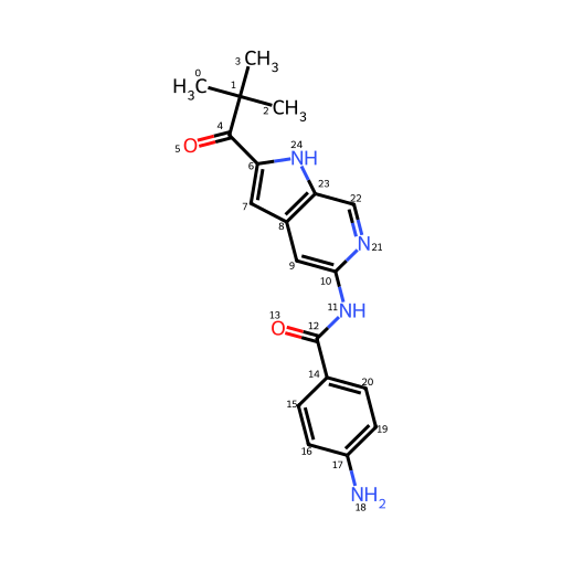 CC(C)(C)C(=O)c1cc2cc(NC(=O)c3ccc(N)cc3)ncc2[nH]1